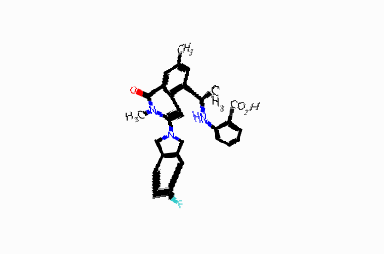 Cc1cc([C@@H](C)Nc2ccccc2C(=O)O)c2cc(N3Cc4ccc(F)cc4C3)n(C)c(=O)c2c1